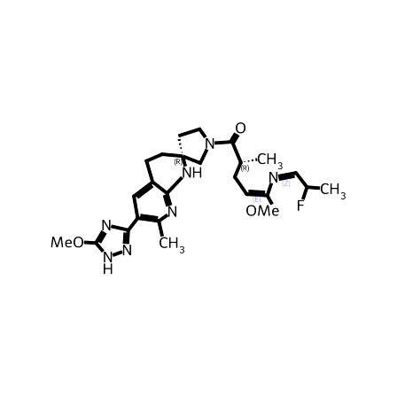 COC(=C/C[C@@H](C)C(=O)N1CC[C@]2(CCc3cc(-c4n[nH]c(OC)n4)c(C)nc3N2)C1)/N=C\C(C)F